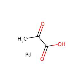 CC(=O)C(=O)O.[Pd]